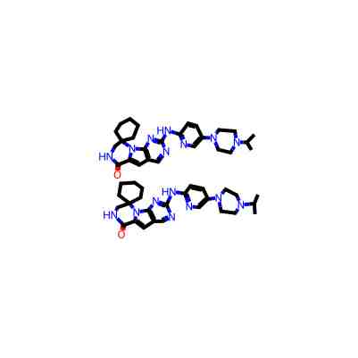 CC(C)N1CCN(c2ccc(Nc3ncc4cc5n(c4n3)C3(CCCCC3)CNC5=O)nc2)CC1.CC(C)N1CCN(c2ccc(Nc3ncc4cc5n(c4n3)C3(CCCCC3)CNC5=O)nc2)CC1